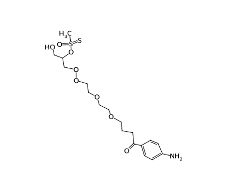 CS(=O)(=S)OC(CO)COOCCOCCOCCCC(=O)c1ccc(N)cc1